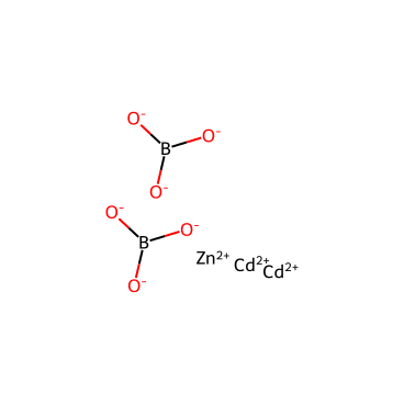 [Cd+2].[Cd+2].[O-]B([O-])[O-].[O-]B([O-])[O-].[Zn+2]